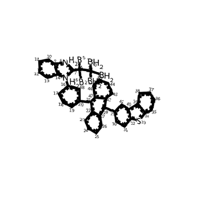 BC(B)(B)C(B)(B)c1nc2ccccc2n1-c1cccc(-c2c3ccccc3c(-c3ccc4sc5ccccc5c4c3)c3ccccc23)c1